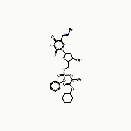 CC(C)[C@H](NP(=O)(OCC1OC(n2cc(/C=C/Br)c(=O)[nH]c2=O)CC1O)Oc1ccccc1)C(=O)OC1CCCCC1